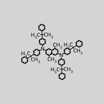 Cc1cc(N(c2ccc(C(C)(C)c3ccccc3)cc2)c2ccc(C(C)(C)c3ccccc3)cc2)cc2c(C)cc(N(c3ccc(C(C)(C)c4ccccc4)cc3)c3ccc(C(C)(C)c4ccccc4)cc3)cc12